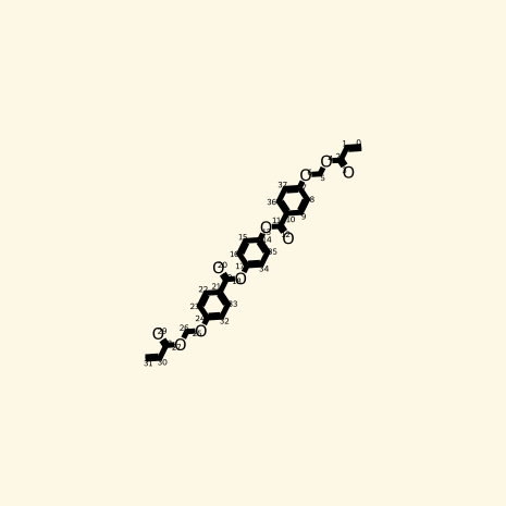 C=CC(=O)OCOc1ccc(C(=O)Oc2ccc(OC(=O)c3ccc(OCOC(=O)C=C)cc3)cc2)cc1